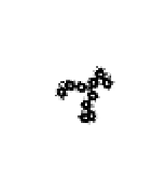 c1cc(-c2cccc(N(c3ccc(-c4ccc5oc6ccccc6c5c4)cc3)c3ccc(-c4cccc5oc6ccccc6c45)cc3)c2)cc(-c2cccc3ccccc23)c1